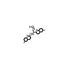 Cc1ccc2nc(ON=C(C=NO)c3ccc4cc(C)ccc4n3)ccc2c1